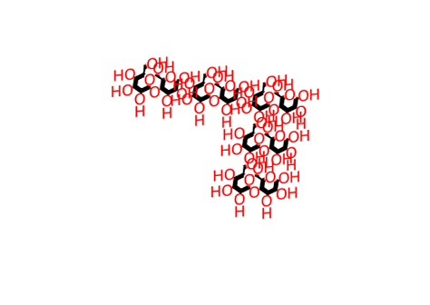 OC[C@H]1O[C@@H](O[C@H]2[C@H](O)[C@@H](O)[C@H](O)O[C@@H]2CO)[C@H](O)[C@@H](O)[C@H]1O.OC[C@H]1O[C@@H](O[C@H]2[C@H](O)[C@@H](O)[C@H](O)O[C@@H]2CO)[C@H](O)[C@@H](O)[C@H]1O.OC[C@H]1O[C@@H](O[C@H]2[C@H](O)[C@@H](O)[C@H](O)O[C@@H]2CO)[C@H](O)[C@@H](O)[C@H]1O.OC[C@H]1O[C@@H](O[C@H]2[C@H](O)[C@@H](O)[C@H](O)O[C@@H]2CO)[C@H](O)[C@@H](O)[C@H]1O.OC[C@H]1O[C@@H](O[C@H]2[C@H](O)[C@@H](O)[C@H](O)O[C@@H]2CO)[C@H](O)[C@@H](O)[C@H]1O